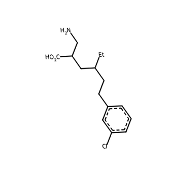 CCC(CCc1cccc(Cl)c1)CC(CN)C(=O)O